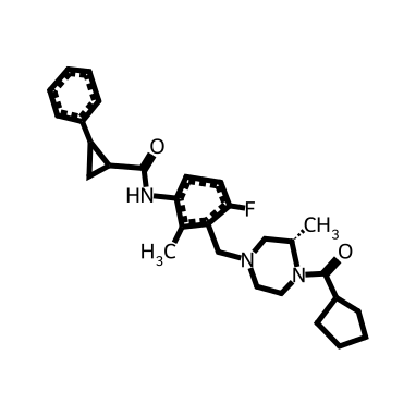 Cc1c(NC(=O)C2CC2c2ccccc2)ccc(F)c1CN1CCN(C(=O)C2CCCC2)[C@@H](C)C1